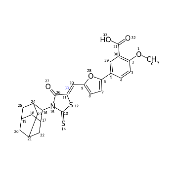 COc1ccc(-c2ccc(/C=C3\SC(=S)N(C4C5CC6CC(C5)CC4C6)C3=O)o2)cc1C(=O)O